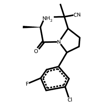 C[C@@H](N)C(=O)N1C(c2cc(F)cc(Cl)c2)CCC1C(C)(C)C#N